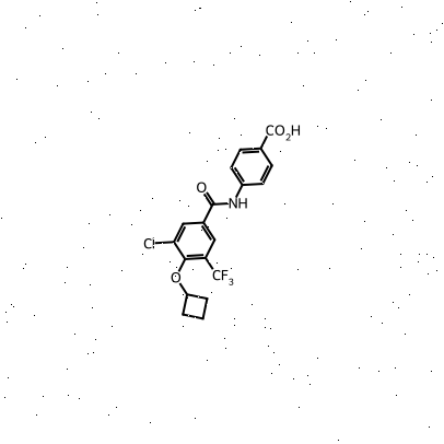 O=C(O)c1ccc(NC(=O)c2cc(Cl)c(OC3CCC3)c(C(F)(F)F)c2)cc1